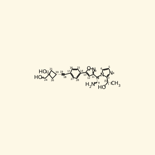 C[C@H](O)c1nccn1[C@H](CN)c1cc(-c2ccc(C#C[C@H]3C[C@](O)(CO)C3)cc2)on1